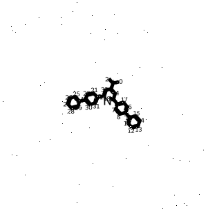 CC(C)c1cc(-c2ccc(-c3ccccc3)cc2)nc(-c2ccc(-c3ccccc3)cc2)c1